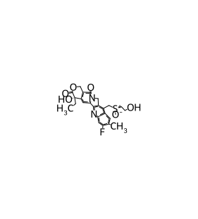 CC[C@@]1(O)C(=O)OCc2c1cc1n(c2=O)Cc2c-1nc1cc(F)c(C)cc1c2C[S@+]([O-])CCO